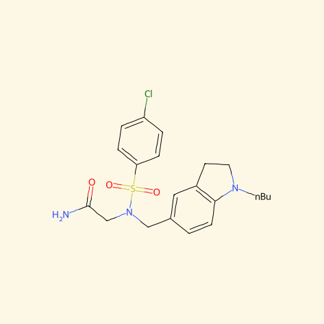 CCCCN1CCc2cc(CN(CC(N)=O)S(=O)(=O)c3ccc(Cl)cc3)ccc21